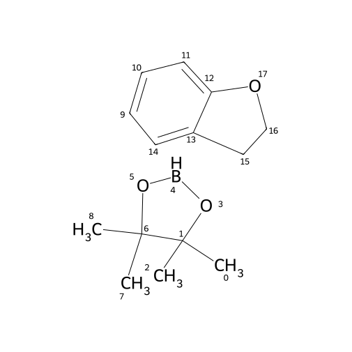 CC1(C)OBOC1(C)C.c1ccc2c(c1)CCO2